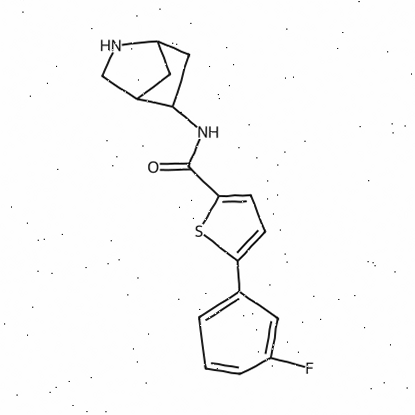 O=C(NC1CC2CC1CN2)c1ccc(-c2cccc(F)c2)s1